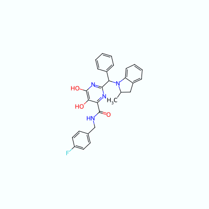 CC1Cc2ccccc2N1C(c1ccccc1)c1nc(O)c(O)c(C(=O)NCc2ccc(F)cc2)n1